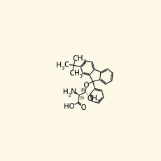 C[C@@H](OC1(c2ccccc2)c2ccccc2-c2ccc(C(C)(C)C)cc21)[C@H](N)C(=O)O